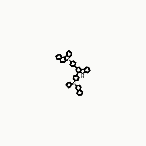 c1ccc(N(c2ccc(-c3cc(-c4ccc(-n5c6ccccc6c6c7ccccc7ccc65)cc4)cc4c3[nH]c3ccccc34)cc2)c2ccc3ccccc3c2)cc1